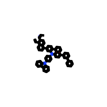 C=Cc1c(/C=C\C)ccc2c(-c3ccc(-c4ccccc4)c(N(c4ccc(-c5cccc(-c6ccccc6)c5)cc4)c4ccc(-n5c6ccccc6c6ccccc65)cc4)c3)cccc12